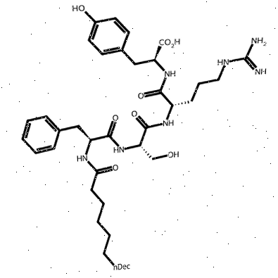 CCCCCCCCCCCCCCCC(=O)N[C@@H](Cc1ccccc1)C(=O)N[C@@H](CO)C(=O)N[C@@H](CCCNC(=N)N)C(=O)N[C@@H](Cc1ccc(O)cc1)C(=O)O